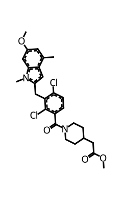 COC(=O)CC1CCN(C(=O)c2ccc(Cl)c(Cc3cc4c(C)cc(OC)cc4n3C)c2Cl)CC1